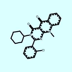 Cn1c2ccccc2c(=O)c2c(=O)n(C3CCCCC3)c(-c3ccccc3Cl)nc21